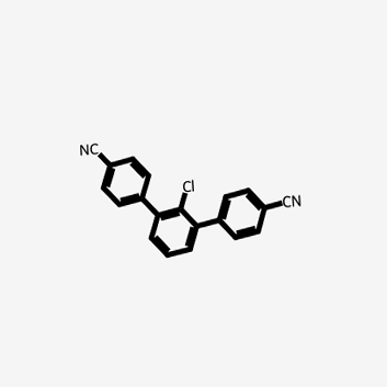 N#Cc1ccc(-c2cccc(-c3ccc(C#N)cc3)c2Cl)cc1